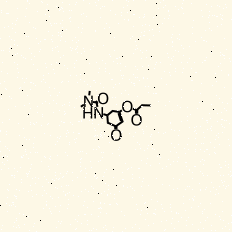 CCC(=O)OC1=CC(=O)CC(NC(=O)N(C)C)C1